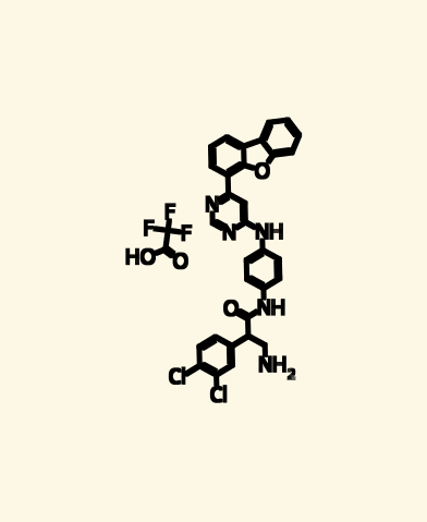 NCC(C(=O)Nc1ccc(Nc2cc(-c3cccc4c3oc3ccccc34)ncn2)cc1)c1ccc(Cl)c(Cl)c1.O=C(O)C(F)(F)F